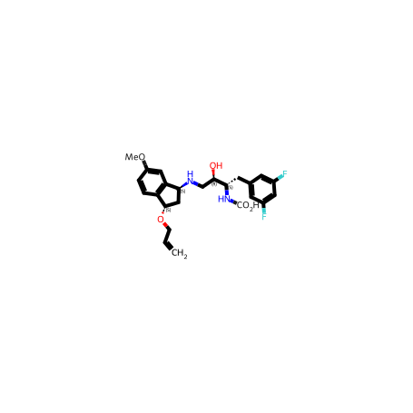 C=CCO[C@H]1C[C@H](NC[C@@H](O)[C@H](Cc2cc(F)cc(F)c2)NC(=O)O)c2cc(OC)ccc21